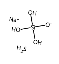 S.[Na+].[O-][Si](O)(O)O